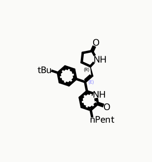 CCCCCc1ccc(/C(=C/[C@H]2CCC(=O)N2)c2ccc(C(C)(C)C)cc2)[nH]c1=O